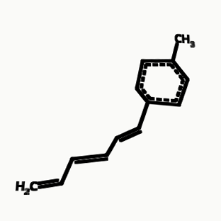 C=CC=CC=Cc1ccc(C)cc1